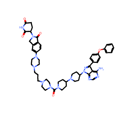 Nc1ncnc2c1c(-c1ccc(Oc3ccccc3)cc1)nn2C1CCN(C2CCN(C(=O)N3CCN(CCCN4CCN(c5ccc6c(c5)CN(C5CCC(=O)NC5=O)C6=O)CC4)CC3)CC2)CC1